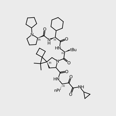 CCC[C@H](NC(=O)C1C[C@@]2(CN1C(=O)[C@@H](NC(=O)[C@@H](NC(=O)[C@H]1CCCN1C1CCCC1)C1CCCCC1)C(C)(C)C)C(C)(C)C21CCC1)C(=O)C(=O)NC1CC1